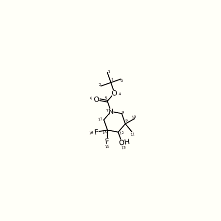 CC(C)(C)OC(=O)N1CC(C)(C)C(O)C(F)(F)C1